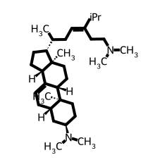 CC(C)/C(=C/CC(C)[C@H]1CC[C@H]2C3=CC[C@H]4C[C@H](N(C)C)CC[C@]4(C)[C@H]3CC[C@]12C)CCN(C)C